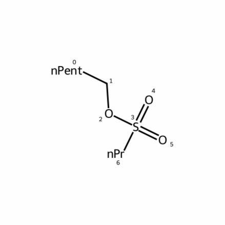 [CH2]CCCCCOS(=O)(=O)CCC